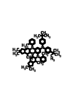 Cc1ccccc1N1C2=C(B3C4=CC5=C(CC(C)(C)C5)C(C)C4N(c4ccccc4C)c4cc(N(c5ccc(C(C)(C)C)cc5)c5ccc(C(C)(C)C)cc5)cc1c43)C(C)C1CC(C)(C)CC1=C2